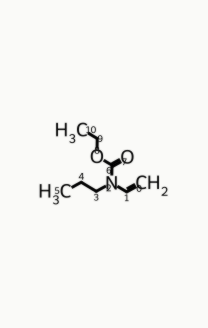 C=CN(CCC)C(=O)OCC